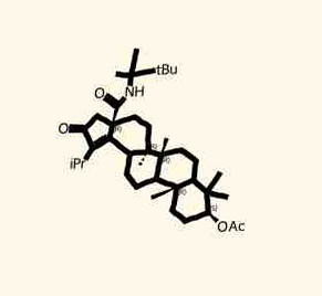 CC(=O)O[C@H]1CC[C@@]2(C)C(CC[C@]3(C)C2CCC2C4=C(C(C)C)C(=O)C[C@]4(C(=O)NC(C)(C)C(C)(C)C)CC[C@]23C)C1(C)C